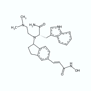 CN(C)CCN(C1CCc2cc(/C=C/C(=O)NO)ccc21)[C@@H](Cc1c[nH]c2ccccc12)C(N)=O